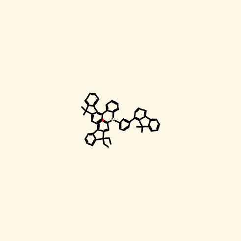 CCC1(CC)c2ccccc2-c2ccc(N(c3cccc(-c4cccc5c4C(C)(C)c4ccccc4-5)c3)c3ccccc3-c3cccc4c3-c3ccccc3C4(C)C)cc21